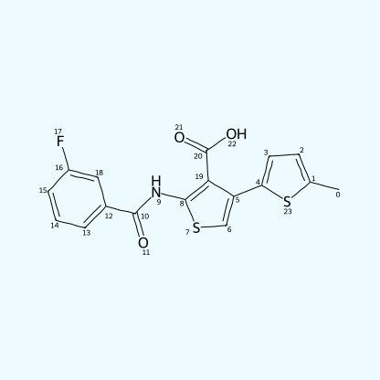 Cc1ccc(-c2csc(NC(=O)c3cccc(F)c3)c2C(=O)O)s1